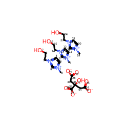 C[n+]1ccn(CCO)c1.C[n+]1ccn(CCO)c1.C[n+]1ccn(CCO)c1.O=C([O-])CC(O)(CC(=O)[O-])C(=O)[O-]